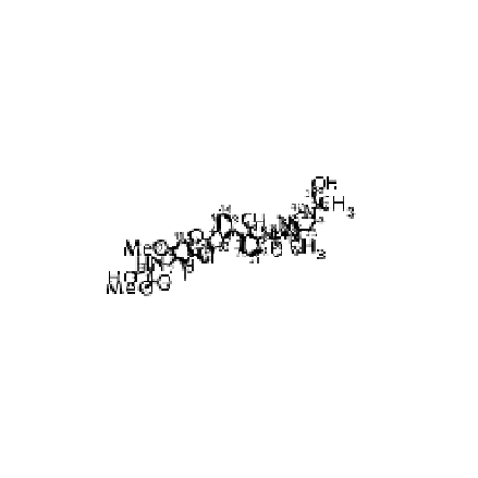 COC(=O)[C@@H](CO)NCc1c(OC)cc(OC2CCc3c(-c4cccc(NC(=O)c5nc6c(n5C)CCN(C(C)CO)C6)c4C)cccc32)c(Cl)c1F